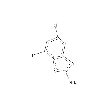 Nc1nc2cc(Cl)cc(I)n2n1